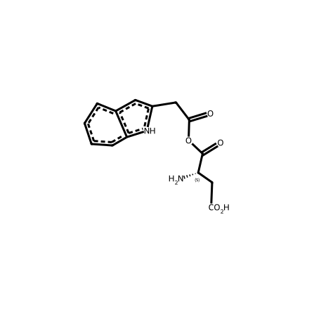 N[C@@H](CC(=O)O)C(=O)OC(=O)Cc1cc2ccccc2[nH]1